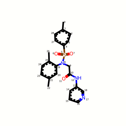 Cc1ccc(S(=O)(=O)N(CC(=O)Nc2cccnc2)c2cc(C)ccc2C)cc1